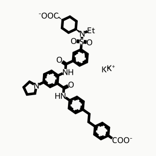 CCN([C@H]1CC[C@H](C(=O)[O-])CC1)S(=O)(=O)c1cccc(C(=O)Nc2ccc(N3CCCC3)cc2C(=O)Nc2ccc(CCc3ccc(C(=O)[O-])cc3)cc2)c1.[K+].[K+]